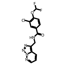 O=C(NCc1nnn2ncccc12)c1ccc(OC(F)F)c(Cl)c1